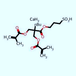 C=C(C)C(=O)OCC(CCCC)(COC(=O)C(=C)C)C(=O)OCCCS(=O)(=O)O.[CaH2]